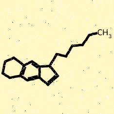 CCCCCC[C]1C=Cc2cc3c(cc21)CCCC3